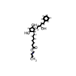 C=C/C=C/OC(=O)CCCCCC[C@@H]1[C@@H](CC[C@@H](O)CCc2ccccc2)[C@H](O)C[C@@H]1O